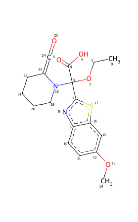 CCOC(C(=O)O)(c1nc2ccc(OC)cc2s1)N1CCCCC1=C=O